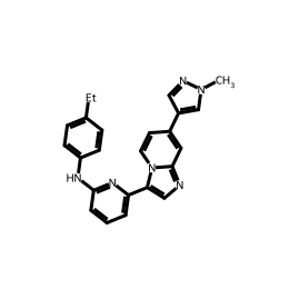 CCc1ccc(Nc2cccc(-c3cnc4cc(-c5cnn(C)c5)ccn34)n2)cc1